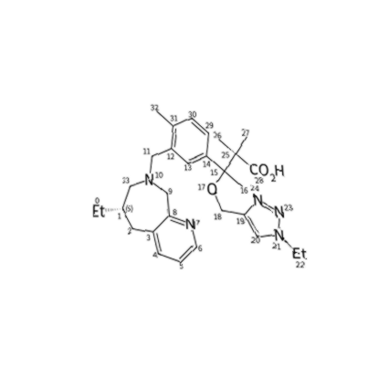 CC[C@H]1Cc2cccnc2CN(Cc2cc(C(C)(OCc3cn(CC)nn3)C(C)(C)C(=O)O)ccc2C)C1